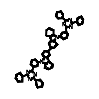 C1=Cc2c(c3cc(-c4ccc5c(c4)c4ccccc4n5-c4cccc(-c5nc(-c6ccccc6)nc(-c6ccccc6)n5)c4)ccc3n2-c2cccc(-c3nc(-c4ccccc4)nc(-c4ccccc4)n3)c2)CC1